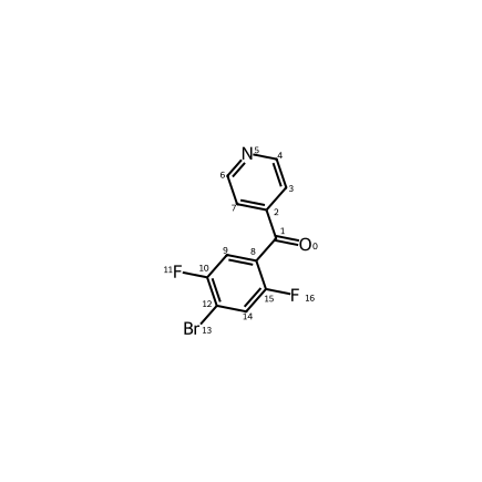 O=C(c1ccncc1)c1cc(F)c(Br)cc1F